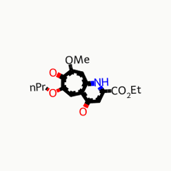 CCCOc1cc2c(=O)cc(C(=O)OCC)[nH]c2cc(OC)c1=O